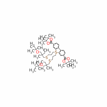 CCC(C)(COC(C)(C)CC)CSCCCS1(CCCSCC(C)(CC)COC(C)(C)CC)c2cc(B3OC(C)(C)C(C)(C)O3)ccc2-c2ccc(B3OC(C)(C)C(C)(C)O3)cc21